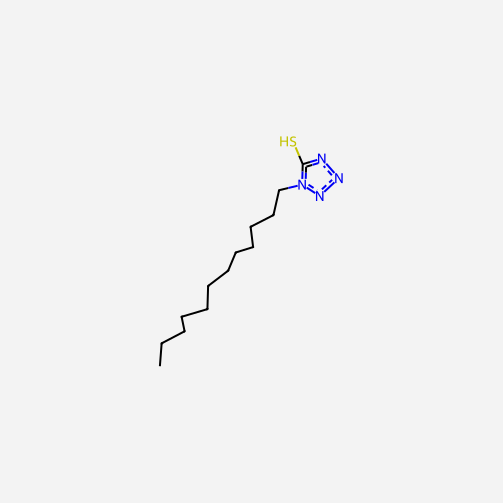 CCCCCCCCCCCCn1nnnc1S